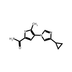 Cc1sc(C(N)=O)cc1-n1cnc(C2CC2)c1